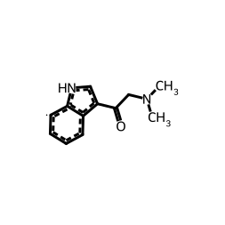 CN(C)CC(=O)c1c[nH]c2[c]cccc12